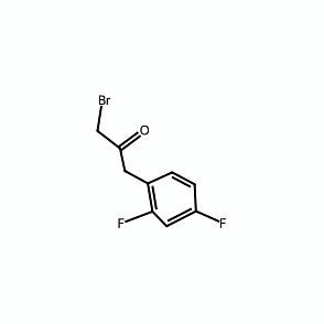 O=C(CBr)Cc1ccc(F)cc1F